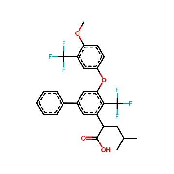 COc1ccc(Oc2cc(-c3ccccc3)cc(C(CC(C)C)C(=O)O)c2C(F)(F)F)cc1C(F)(F)F